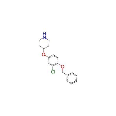 Clc1cc(OC2CCNCC2)ccc1OCc1ccccc1